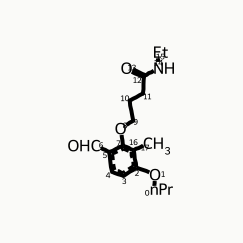 CCCOc1ccc(C=O)c(OCCCC(=O)NCC)c1C